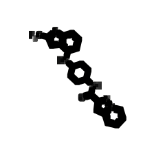 O=C(NC1CCC(Nc2cccc3sc(C(F)(F)F)cc23)CC1)c1cc2ccccn2n1